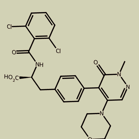 Cn1ncc(N2CCOCC2)c(-c2ccc(C[C@H](NC(=O)c3c(Cl)cccc3Cl)C(=O)O)cc2)c1=O